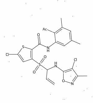 C=CC(Nc1onc(C)c1Cl)S(=O)(=O)c1cc(Cl)sc1C(=O)Nc1cc(C)cc(C)c1C(C)=O